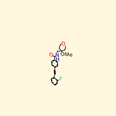 COC1(CNC(=O)c2ccc(C#Cc3ccccc3F)cc2)CCOCC1